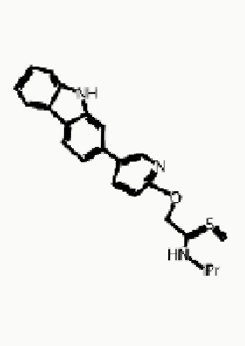 C=S=C(COc1ccc(-c2ccc3c(c2)[nH]c2ccccc23)cn1)NC(C)C